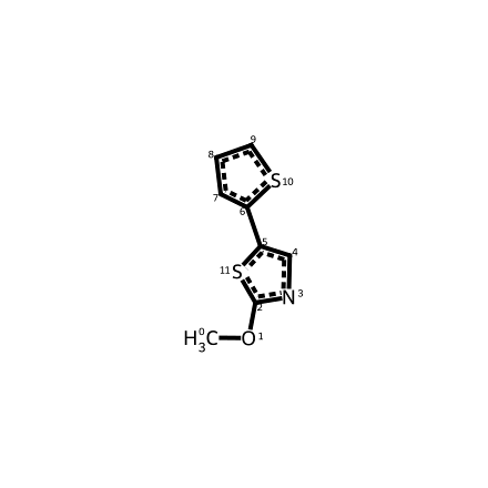 COc1ncc(-c2cccs2)s1